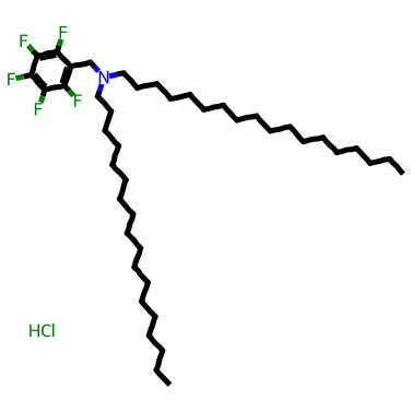 CCCCCCCCCCCCCCCCCCN(CCCCCCCCCCCCCCCCCC)Cc1c(F)c(F)c(F)c(F)c1F.Cl